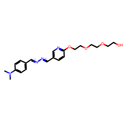 CN(C)c1ccc(/C=N/N=C/c2ccc(OCCOCCOCCO)nc2)cc1